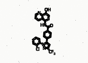 O=C(Nc1ccc(O)c2ncccc12)c1ccc(-c2cc(C(F)(F)F)nn2-c2ccccc2Cl)cc1